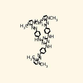 Cn1cc[n+](C)c1/N=N/c1ccc(Nc2nc(Nc3ccc(/N=N/c4n(C)cc[n+]4C)cc3)nc(Nc3ccc(/N=N/c4n(C)cc[n+]4C)cc3)n2)cc1